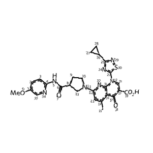 COc1ccc(NC(=O)C2CCN(c3cc(C)c4c(=O)c(C(=O)O)cn(-c5nc(C6CC6)ns5)c4n3)C2)nc1